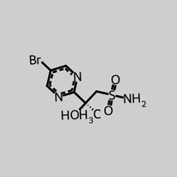 C[C@@](O)(CS(N)(=O)=O)c1ncc(Br)cn1